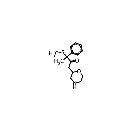 CSC(C)(C(=O)CC1CNCCO1)c1ccccc1